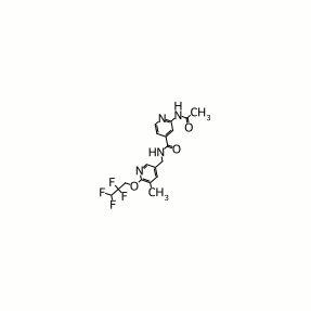 CC(=O)Nc1cc(C(=O)NCc2cnc(OCC(F)(F)C(F)F)c(C)c2)ccn1